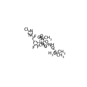 CN1C(OC(=O)NCOCC[Si](C)(C)C)=NC(C)(c2cc(C=C(F)c3cnc(Cl)cn3)cc(F)c2F)CS1(=O)=O